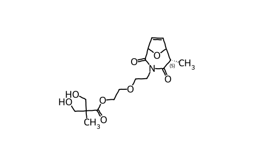 C[C@@H]1C(=O)N(CCOCCOC(=O)C(C)(CO)CO)C(=O)C2C=CC1O2